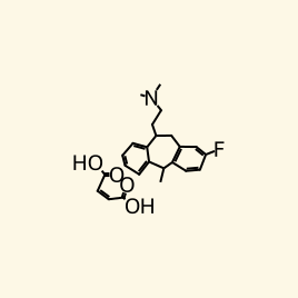 CC1c2ccc(F)cc2CC(CCN(C)C)c2ccccc21.O=C(O)/C=C\C(=O)O